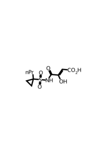 CCCC1(S(=O)(=O)NC(=O)C(O)=CC(=O)O)CC1